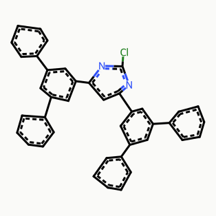 Clc1nc(-c2cc(-c3ccccc3)cc(-c3ccccc3)c2)cc(-c2cc(-c3ccccc3)cc(-c3ccccc3)c2)n1